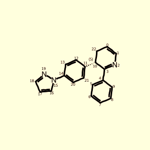 C1=CN=C(c2ccccc2)[C@H](c2ccc(-n3cccn3)cc2)C1